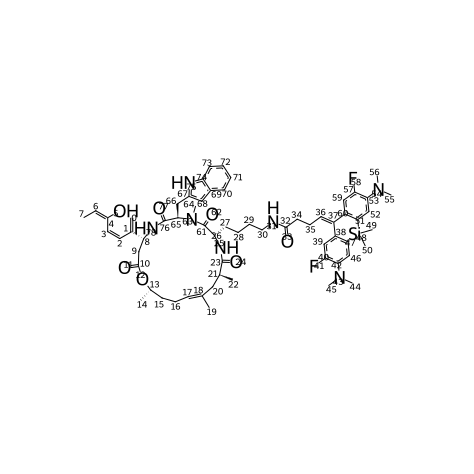 C=C(/C=C\C(O)=C/C)[C@H]1CC(=O)O[C@@H](C)CC/C=C(\C)C[C@H](C)C(=O)N[C@@H](CCCCNC(=O)CCC=C2c3cc(F)c(N(C)C)cc3[Si](C)(C)c3cc(N(C)C)c(F)cc32)C(=O)N(C)[C@H](Cc2cc3ccccc3[nH]2)C(=O)N1